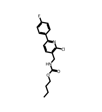 CCCCOC(=O)NCc1ccc(-c2ccc(F)cc2)nc1Cl